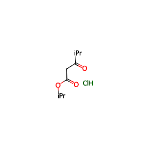 CC(C)OC(=O)CC(=O)C(C)C.Cl